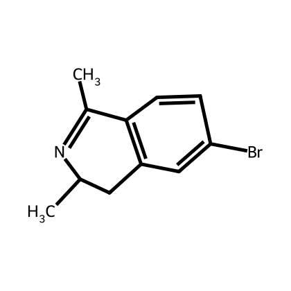 CC1=NC(C)Cc2cc(Br)ccc21